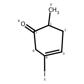 CC1CC=C(I)CC1=O